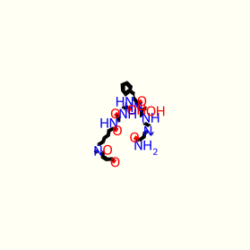 CN(CCNCC(CO)NC(=O)[C@H](Cc1ccccc1)NC(O)CNC(=O)CNC(=O)CCCCCN(C)C(=O)/C=C\C=O)CCC(N)=O